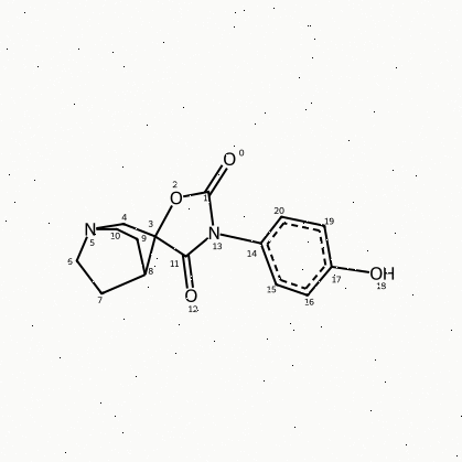 O=C1OC2(CN3CCC2CC3)C(=O)N1c1ccc(O)cc1